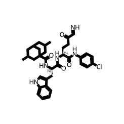 CC1CC2CC(C)CC(C(=O)N[C@@H](Cc3c[nH]c4ccccc34)C(=O)N[C@@H](CCC(=O)C=N)C(=O)Nc3ccc(Cl)cc3)(C1)C2